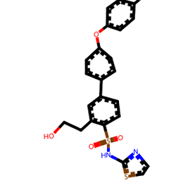 O=S(=O)(Nc1nccs1)c1ccc(-c2ccc(Oc3ccc(C(F)(F)F)cc3)cc2)cc1CCO